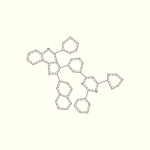 c1ccc(-c2cc(-c3cccc(-c4c(-c5ccc6ccccc6c5)sc5c4c(-c4ccccc4)nc4ccccc45)c3)nc(-c3ccccc3)n2)cc1